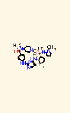 CCN(C(=O)[C@H]1CCC[C@H]1Nc1nc(Nc2ccc(C(=O)N(C)C3CCN(C)CC3)cc2)ncc1C(F)(F)F)C1CCCN1C